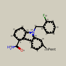 CCCCCc1c[c]c2c3c(C(N)=O)cccc3n(Cc3ccccc3F)c2c1